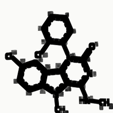 CNc1nc(=O)n(-c2ccccc2Cl)c2c3cc(Cl)ccc3n(C)c12